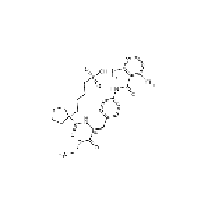 CCOC(=O)[C@H](Cc1ccc(NC(=O)c2c(C)ccnc2C)cc1)NC(=O)C1(CCCCS(C)(=O)=O)CCCC1